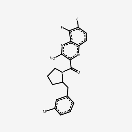 O=C(c1nc2ccc(F)c(F)c2nc1O)N1CCCC1Cc1cccc(Cl)c1